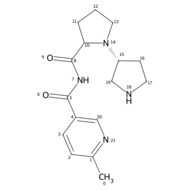 Cc1ccc(C(=O)NC(=O)C2CCCN2[C@@H]2CCNC2)cn1